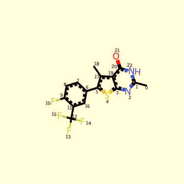 Cc1nc2sc(-c3ccc(F)c(C(F)(F)F)c3)c(C)c2c(=O)[nH]1